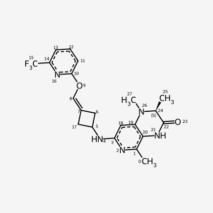 Cc1nc(NC2CC(=COc3cccc(C(F)(F)F)n3)C2)cc2c1NC(=O)[C@H](C)N2C